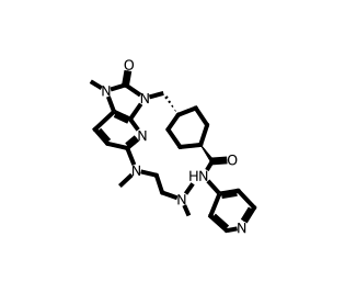 CN(C)CCN(C)c1ccc2c(n1)n(C[C@H]1CC[C@H](C(=O)Nc3ccncc3)CC1)c(=O)n2C